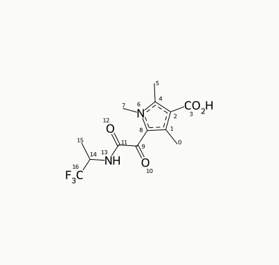 Cc1c(C(=O)O)c(C)n(C)c1C(=O)C(=O)NC(C)C(F)(F)F